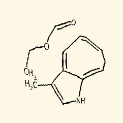 CCOC=O.Cc1c[nH]c2ccccc12